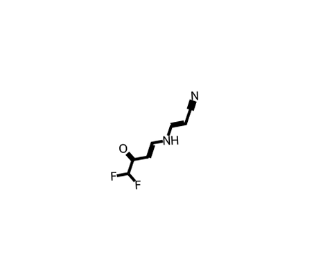 N#CC=CNC=CC(=O)C(F)F